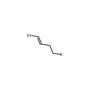 CCC=CC[CH2][K]